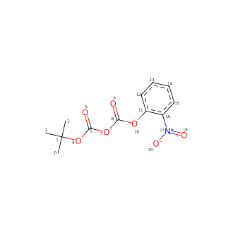 CC(C)(C)OC(=O)OC(=O)Oc1ccccc1[N+](=O)[O-]